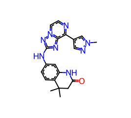 Cn1cc(-c2nccn3nc(Nc4ccc5c(c4)NC(=O)CC5(C)C)nc23)cn1